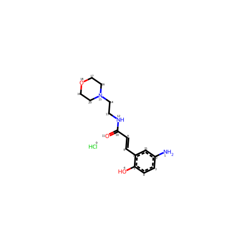 Cl.Nc1ccc(O)c(C=CC(=O)NCCN2CCOCC2)c1